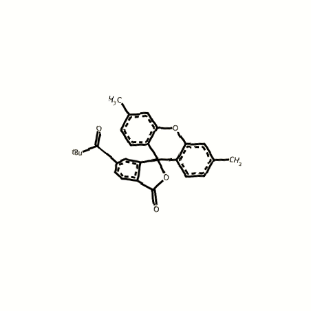 Cc1ccc2c(c1)Oc1cc(C)ccc1C21OC(=O)c2ccc(C(=O)C(C)(C)C)cc21